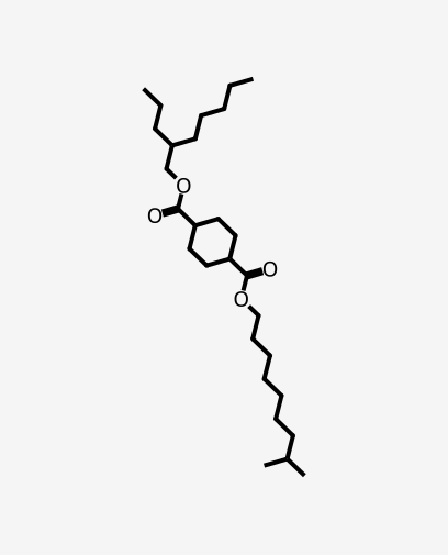 CCCCCC(CCC)COC(=O)C1CCC(C(=O)OCCCCCCCC(C)C)CC1